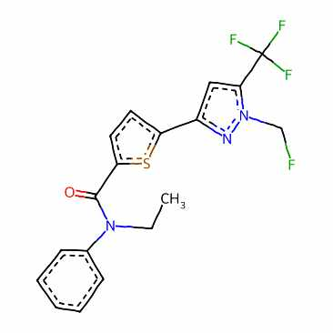 CCN(C(=O)c1ccc(-c2cc(C(F)(F)F)n(CF)n2)s1)c1ccccc1